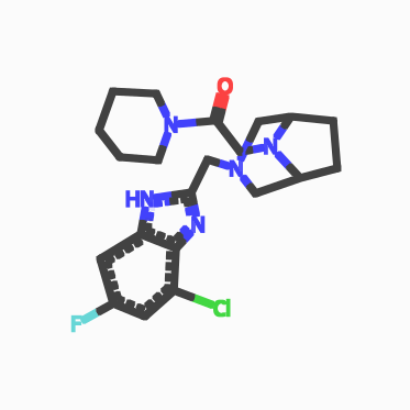 O=C(CN1C2CCC1CN(Cc1nc3c(Cl)cc(F)cc3[nH]1)C2)N1CCCCC1